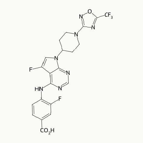 O=C(O)c1ccc(Nc2ncnc3c2c(F)cn3C2CCN(c3noc(C(F)(F)F)n3)CC2)c(F)c1